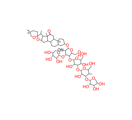 CC1C(CO)OC(OC2C(O)C(CO)OC(OC3C(CO)OC(OC4CC[C@@]5(C)C(CCC6C7CC8OC9(CC[C@H](C)CO9)C(C)C8C7(C)C(=O)CC65)C4)C(N=O)C3OC3OCC(O)C(O)C3O)C2O)C(O)C1OC1OCC(O)C(O)C1O